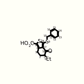 CCC1CCc2c(C(=O)O)sc(SCc3ccccc3)c2C1=O